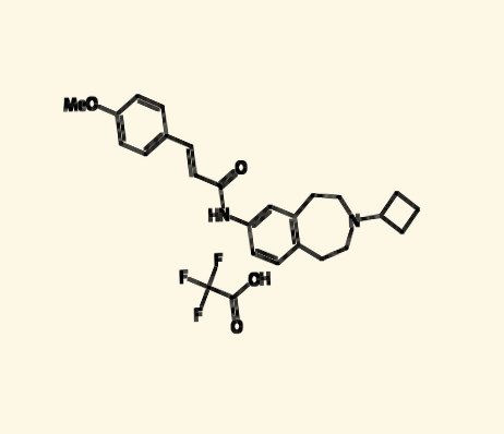 COc1ccc(C=CC(=O)Nc2ccc3c(c2)CCN(C2CCC2)CC3)cc1.O=C(O)C(F)(F)F